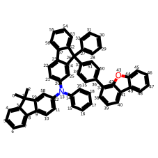 CC1(C)c2ccccc2-c2ccc(N(c3ccccc3)c3ccc4c(c3)C(c3ccccc3)(c3ccc(-c5cccc6c5oc5ccccc56)cc3)c3ccccc3-4)cc21